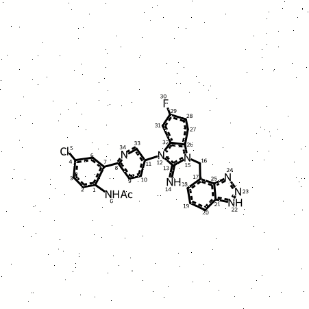 CC(=O)Nc1ccc(Cl)cc1-c1ccc(-n2c(=N)n(Cc3cccc4[nH]nnc34)c3ccc(F)cc32)cn1